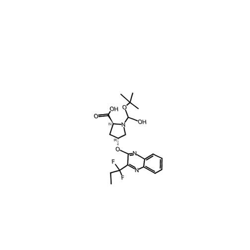 CCC(F)(F)c1nc2ccccc2nc1O[C@@H]1C[C@@H](C(=O)O)N(C(O)OC(C)(C)C)C1